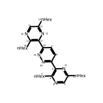 CCCCCCc1cnc(CCCCCC)c(-c2ccc(-c3nc(CCCCCC)cnc3CCCCCC)nn2)n1